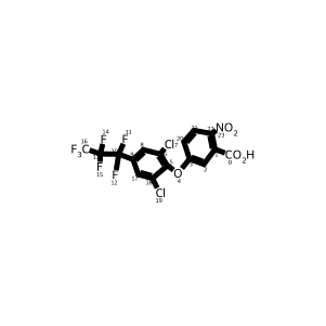 O=C(O)c1cc(Oc2c(Cl)cc(C(F)(F)C(F)(F)C(F)(F)F)cc2Cl)ccc1[N+](=O)[O-]